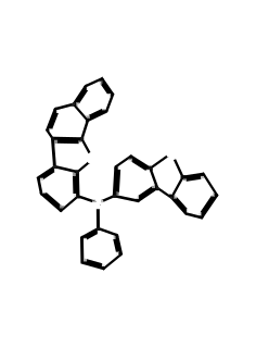 c1ccc(N(c2ccc3sc4ccccc4c3c2)c2cccc3c2sc2c4ccccc4ccc32)cc1